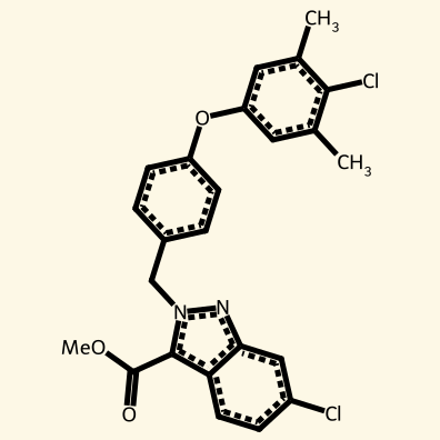 COC(=O)c1c2ccc(Cl)cc2nn1Cc1ccc(Oc2cc(C)c(Cl)c(C)c2)cc1